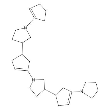 C1=C(N2CCCC2)CC(C2CCN(C3=CCC(C4CCN(C5=CCCC5)C4)C3)C2)C1